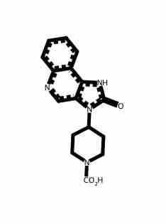 O=C(O)N1CCC(n2c(=O)[nH]c3c4ccccc4ncc32)CC1